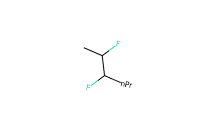 [CH2]CCC(F)C(C)F